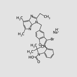 CCc1nc2c(C)cc(C)nc2n1Cc1ccc2oc(-c3ccccc3N(C(=O)O)C(C)(C)C)c(Br)c2c1.[H-].[Na+]